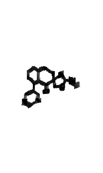 NC1=NC2(CCc3cccc(-c4cncnc4)c3C2=O)CO1